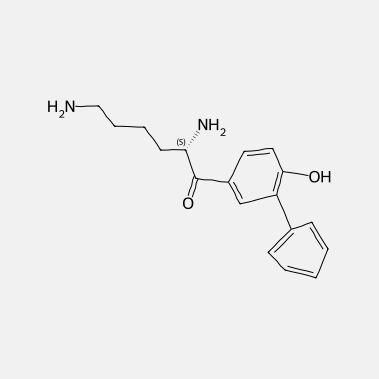 NCCCC[C@H](N)C(=O)c1ccc(O)c(-c2ccccc2)c1